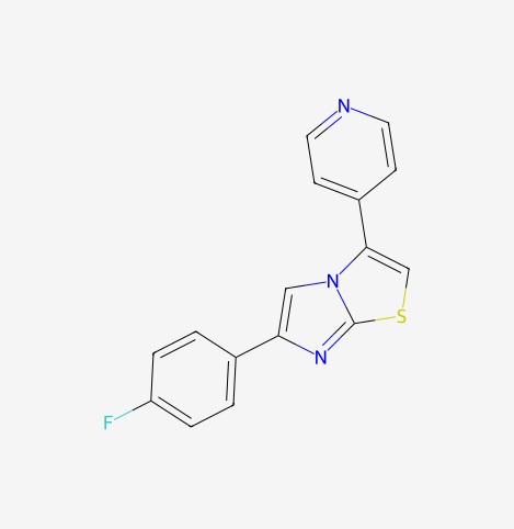 Fc1ccc(-c2cn3c(-c4ccncc4)csc3n2)cc1